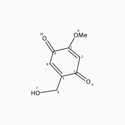 COC1=CC(=O)C(CO)=CC1=O